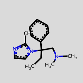 CCC(CN(C)C)(c1ccccc1)n1ccnc1C